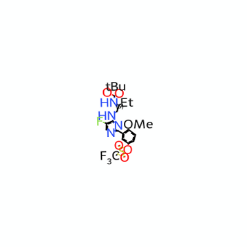 CC[C@@H](CNc1nc(-c2cc(OS(=O)(=O)C(F)(F)F)ccc2OC)ncc1F)NC(=O)OC(C)(C)C